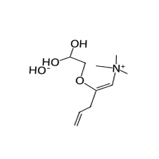 C=CCC(=C[N+](C)(C)C)OCC(O)O.[OH-]